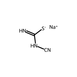 N#CNC(=N)[S-].[Na+]